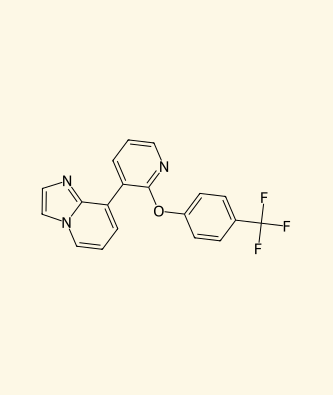 FC(F)(F)c1ccc(Oc2ncccc2-c2cccn3ccnc23)cc1